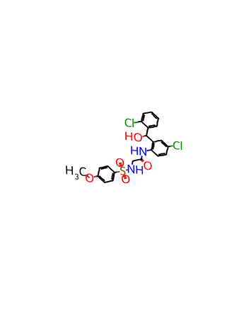 COc1ccc(S(=O)(=O)NCC(=O)Nc2ccc(Cl)cc2C(O)c2ccccc2Cl)cc1